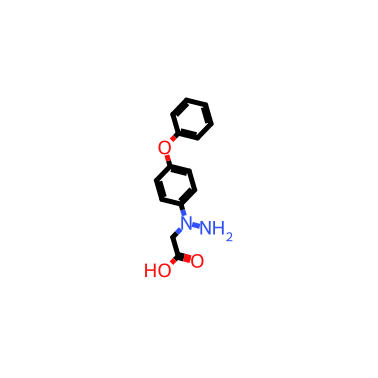 NN(CC(=O)O)c1ccc(Oc2ccccc2)cc1